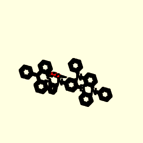 c1ccc(C2c3ccccc3S3(c4ccccc42)c2ccccc2N(c2ccc4c(c2)N(c2ccccc2)c2cccc5c2B4c2ccccc2N5c2ccccc2)c2ccccc23)cc1